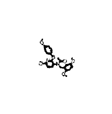 COc1ccc(Oc2nc(Cl)ccc2N(Cc2cc(OC)ccc2OC)C(C)=O)cc1